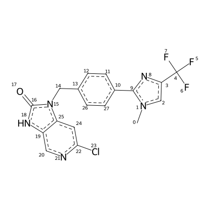 Cn1cc(C(F)(F)F)nc1-c1ccc(Cn2c(=O)[nH]c3cnc(Cl)cc32)cc1